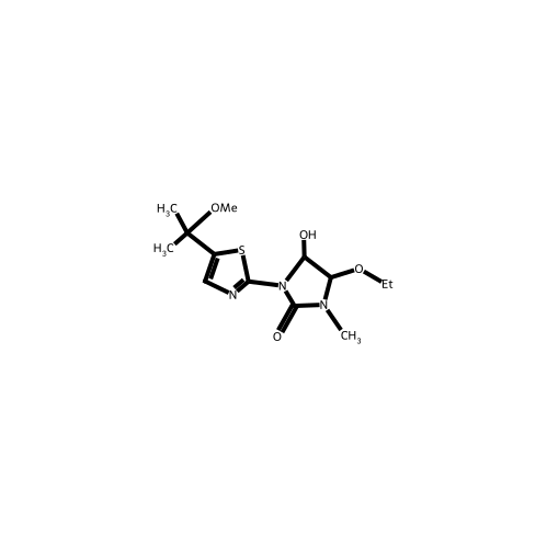 CCOC1C(O)N(c2ncc(C(C)(C)OC)s2)C(=O)N1C